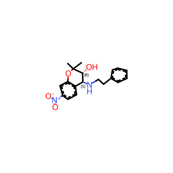 CC1(C)Oc2cc([N+](=O)[O-])ccc2[C@H](NCCc2ccccc2)[C@H]1O